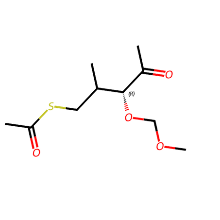 COCO[C@@H](C(C)=O)C(C)CSC(C)=O